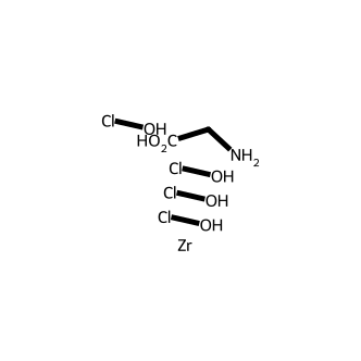 NCC(=O)O.OCl.OCl.OCl.OCl.[Zr]